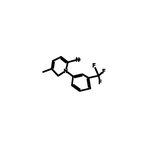 CC1=CC=C([N])N(c2cccc(C(F)(F)F)c2)C1